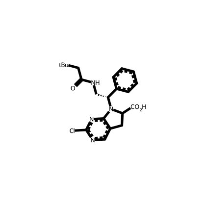 CC(C)(C)CC(=O)NC[C@H](c1ccccc1)N1c2nc(Cl)ncc2CC1C(=O)O